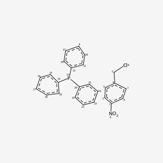 O=[N+]([O-])c1ccc(CCl)cc1.c1ccc(P(c2ccccc2)c2ccccc2)cc1